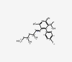 CC(C)c1nc(C(C)C)c(C(C)O)c(-c2ccc(F)cc2)c1/C=C/[C@@H](O)C[C@@H](O)CC(=O)O